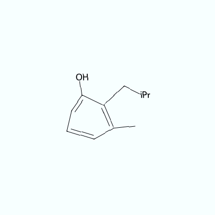 Cc1cccc(O)c1CC(C)C